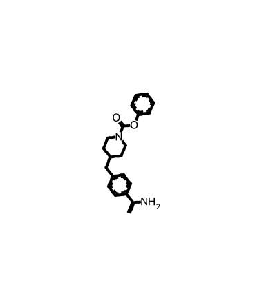 C=C(N)c1ccc(CC2CCN(C(=O)Oc3ccccc3)CC2)cc1